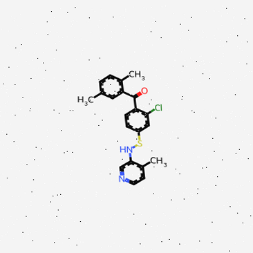 Cc1ccc(C)c(C(=O)c2ccc(SNc3cnccc3C)cc2Cl)c1